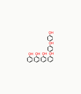 Oc1ccccc1.Oc1ccccc1.Oc1ccccc1.Oc1ccccc1.Oc1ccccc1.Oc1ccccc1